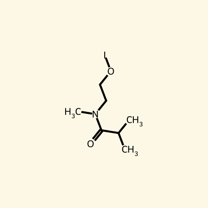 CC(C)C(=O)N(C)CCOI